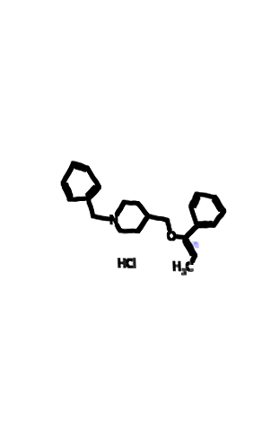 C/C=C(\OCC1CCN(Cc2ccccc2)CC1)c1ccccc1.Cl